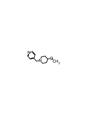 COC1CCN(Cc2c[c]ncc2)CC1